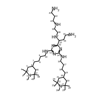 CN1C(C)(C)CC(CCCCNc2nc(NCCCCC3CC(C)(C)N(C)C(C)(C)C3)nc(C(CCN)NCCNCCCN)n2)CC1(C)C